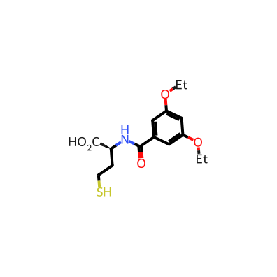 CCOc1cc(OCC)cc(C(=O)N[C@@H](CCS)C(=O)O)c1